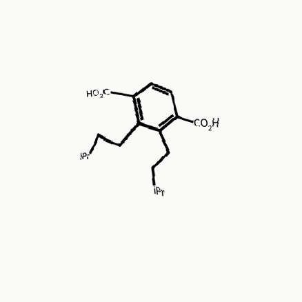 CC(C)CCc1c(C(=O)O)ccc(C(=O)O)c1CCC(C)C